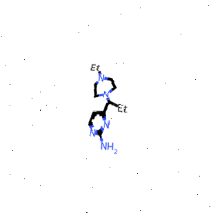 CCC(c1ccnc(N)n1)N1CCN(CC)CC1